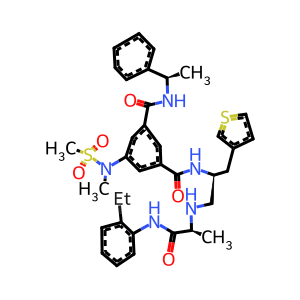 CCc1ccccc1NC(=O)[C@H](C)NC[C@H](Cc1ccsc1)NC(=O)c1cc(C(=O)N[C@H](C)c2ccccc2)cc(N(C)S(C)(=O)=O)c1